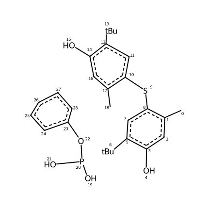 Cc1cc(O)c(C(C)(C)C)cc1Sc1cc(C(C)(C)C)c(O)cc1C.OP(O)Oc1ccccc1